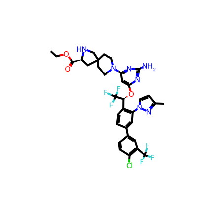 CCOC(=O)[C@@H]1CC2(CCN(c3cc(O[C@H](c4ccc(-c5ccc(Cl)c(C(F)(F)F)c5)cc4-n4ccc(C)n4)C(F)(F)F)nc(N)n3)CC2)CN1